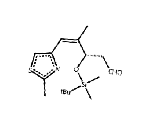 CC(=Cc1csc(C)n1)[C@H](CC=O)O[Si](C)(C)C(C)(C)C